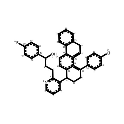 OC(CCc1ncccc1C1CCC(c2ccc(Cl)cc2)=c2c1ccc1c2=CCc2ccccc2-1)c1ccc(F)cc1